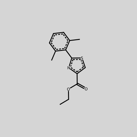 CCOC(=O)c1csc(-c2c(C)cccc2C)n1